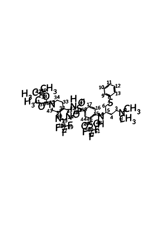 CN(C)CC[C@H](CSc1ccccc1)Nc1ccc(S(=O)(=O)Nc2nc(C(F)(F)F)nc3c2CCN(C(=O)OC(C)(C)C)C3)cc1S(=O)(=O)C(F)(F)F